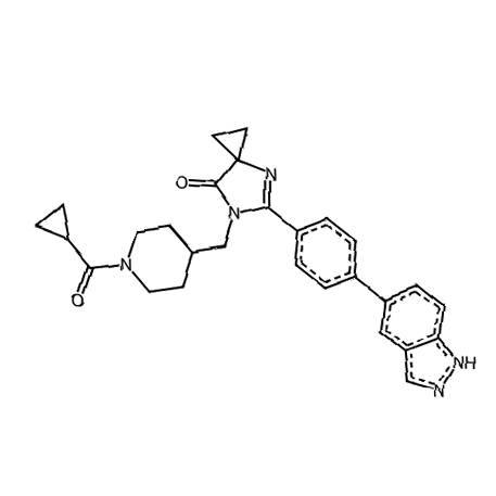 O=C(C1CC1)N1CCC(CN2C(=O)C3(CC3)N=C2c2ccc(-c3ccc4[nH]ncc4c3)cc2)CC1